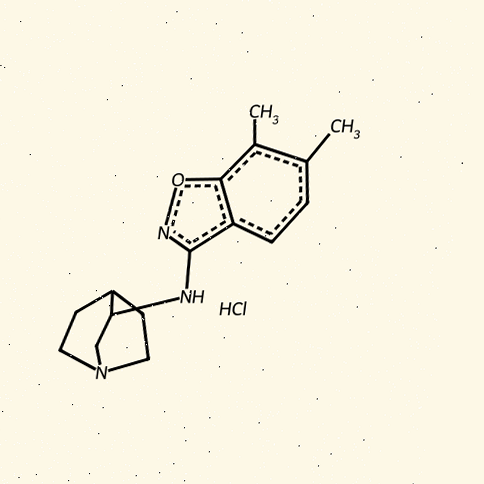 Cc1ccc2c(NC3CN4CCC3CC4)noc2c1C.Cl